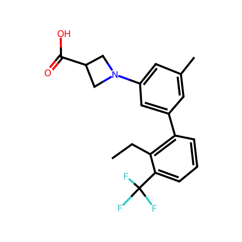 CCc1c(-c2cc(C)cc(N3CC(C(=O)O)C3)c2)cccc1C(F)(F)F